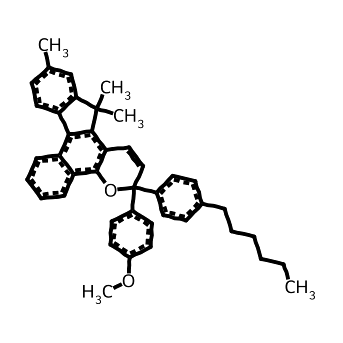 CCCCCCc1ccc(C2(c3ccc(OC)cc3)C=Cc3c4c(c5ccccc5c3O2)-c2ccc(C)cc2C4(C)C)cc1